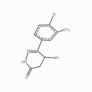 Cc1cc(C2=NNC(=O)CC2C(C)C)ccc1[O]